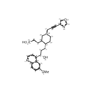 COc1ccc2nccc([C@@H](O)CCC3CCN(CC#Cc4cocn4)CC3CCC(=O)O)c2c1